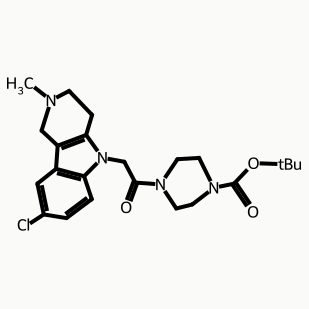 CN1CCc2c(c3cc(Cl)ccc3n2CC(=O)N2CCN(C(=O)OC(C)(C)C)CC2)C1